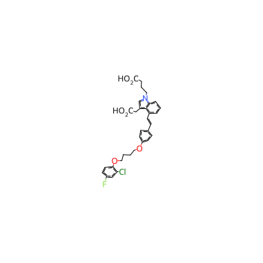 O=C(O)CCCn1cc(CC(=O)O)c2c(C=Cc3ccc(OCCCCOc4ccc(F)cc4Cl)cc3)cccc21